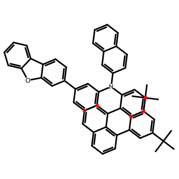 CC(C)(C)c1cc(-c2cccc3cccc(-c4ccccc4N(c4cccc(-c5ccc6c(c5)oc5ccccc56)c4)c4ccc5ccccc5c4)c23)cc(C(C)(C)C)c1